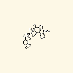 COc1ccccc1C(c1ccc(NC(=O)C2(c3ccc4c(c3)OCO4)CC2)nc1)N1CCCC1C(N)=O